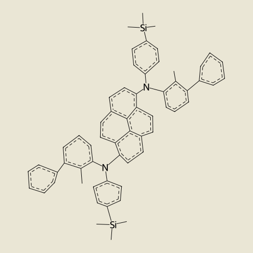 Cc1c(-c2ccccc2)cccc1N(c1ccc([Si](C)(C)C)cc1)c1ccc2ccc3c(N(c4ccc([Si](C)(C)C)cc4)c4cccc(-c5ccccc5)c4C)ccc4ccc1c2c43